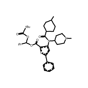 CC1CCC(C(=O)N(c2cc(-c3ccccc3)sc2C(=O)OC(OC(=O)C(C)(C)C)C(C)C)C2CCN(C)CC2)CC1